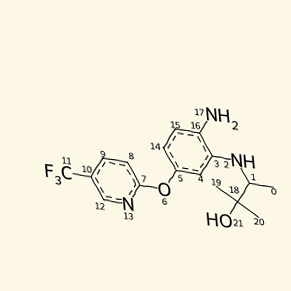 CC(Nc1cc(Oc2ccc(C(F)(F)F)cn2)ccc1N)C(C)(C)O